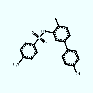 Cc1ccc(-c2ccc(C#N)cc2)cc1NS(=O)(=O)c1ccc(N)cc1